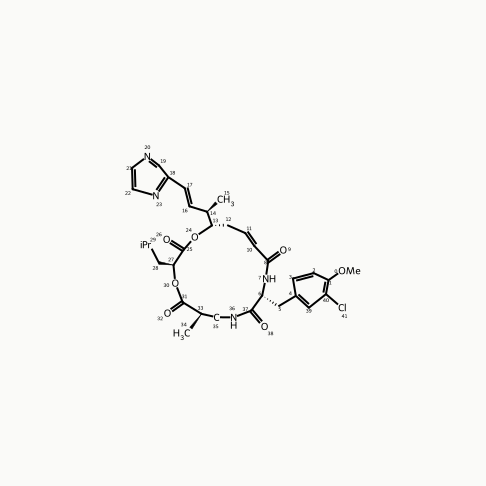 COc1ccc(C[C@H]2NC(=O)/C=C/C[C@@H]([C@H](C)/C=C/c3cnccn3)OC(=O)[C@H](CC(C)C)OC(=O)[C@H](C)CNC2=O)cc1Cl